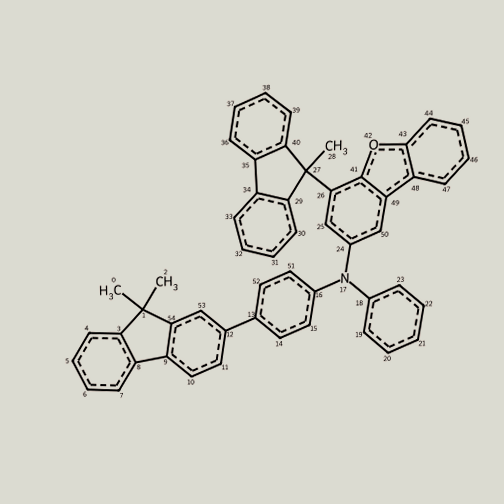 CC1(C)c2ccccc2-c2ccc(-c3ccc(N(c4ccccc4)c4cc(C5(C)c6ccccc6-c6ccccc65)c5oc6ccccc6c5c4)cc3)cc21